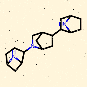 C1CC2NC1CC2C1CC2CC1CN2C1CCC2CC1N2